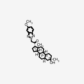 COc1ccc2nn(CC(=O)[C@H]3CC[C@H]4[C@@H]5CC[C@@H]6C[C@](C)(O)CC[C@]6(F)[C@H]5CC[C@]34C)nc2c1